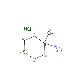 CC1(N)CCSCC1.Cl